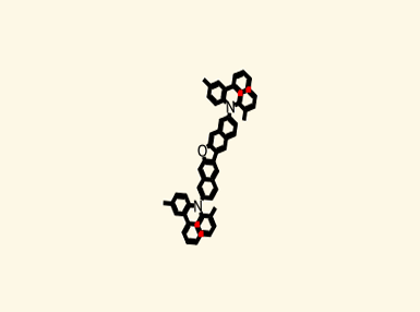 Cc1ccc(N(c2ccc3cc4c(cc3c2)oc2cc3cc(N(c5ccccc5C)c5ccc(C)cc5-c5ccccc5)ccc3cc24)c2ccccc2C)c(-c2ccccc2)c1